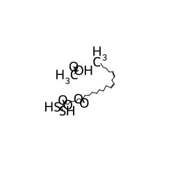 CC(=O)O.CCCCC/C=C\C/C=C\CCCCCCCC(=O)OCCOC(=O)C(S)S